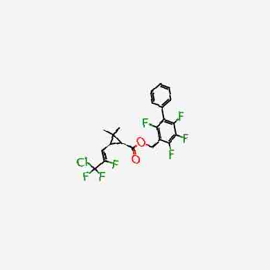 CC1(C)[C@H](C=C(F)C(F)(F)Cl)[C@@H]1C(=O)OCc1c(F)c(F)c(F)c(-c2ccccc2)c1F